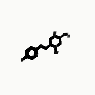 C[C@@H]1C[S+]([O-])[C@@H](COc2ccc(F)cn2)CN1